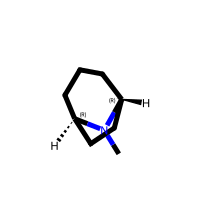 CN1[C@@H]2CCC[C@@H]1CC2